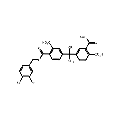 CCc1ccc(COC(=O)c2ccc(C(C)(c3ccc(C(=O)O)c(C(=O)OC)c3)C(F)(F)F)cc2C(=O)O)cc1Br